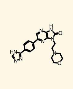 O=c1[nH]c2ncc(-c3ccc(-c4nnc[nH]4)cc3)nc2n1CCN1CCOCC1